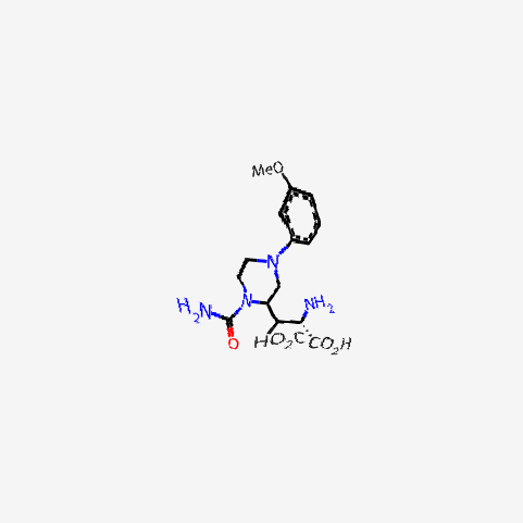 COc1cccc(N2CCN(C(N)=O)C(C(C(=O)O)[C@H](N)C(=O)O)C2)c1